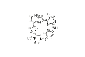 CCN1CCN(Cc2ccc(Nc3ncc(F)c(-c4cc5nccc(C6CCCC6)c5s4)n3)nc2)CC1